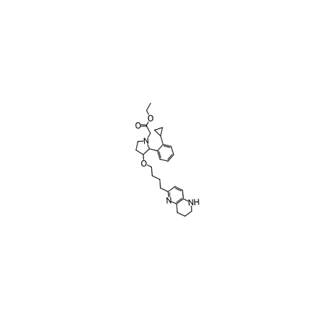 CCOC(=O)CN1CCC(OCCCCc2ccc3c(n2)CCCN3)C1c1ccccc1C1CC1